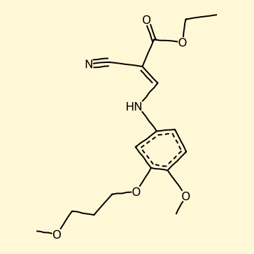 CCOC(=O)/C(C#N)=C/Nc1ccc(OC)c(OCCCOC)c1